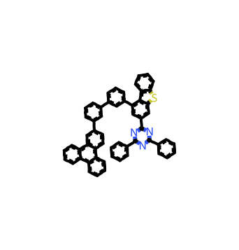 c1ccc(-c2nc(-c3ccccc3)nc(-c3cc(-c4cccc(-c5cccc(-c6ccc7c8ccccc8c8ccccc8c7c6)c5)c4)c4c(c3)sc3ccccc34)n2)cc1